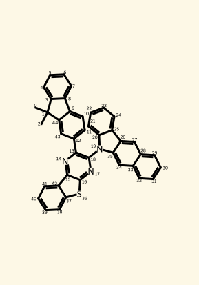 CC1(C)c2ccccc2-c2ccc(-c3nc4c(nc3-n3c5ccccc5c5cc6ccccc6cc53)sc3ccccc34)cc21